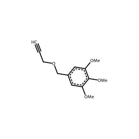 C#CCOCc1cc(OC)c(OC)c(OC)c1